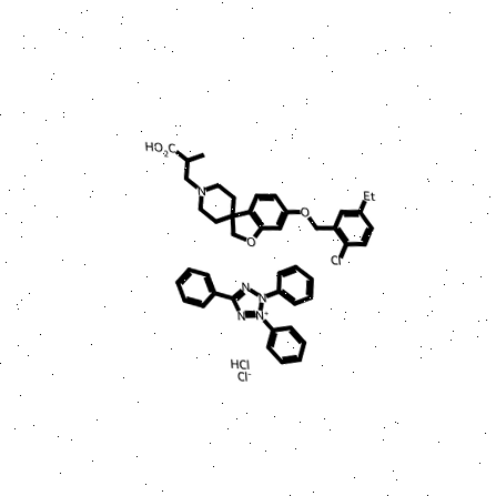 CCc1ccc(Cl)c(COc2ccc3c(c2)OCC32CCN(CC(C)C(=O)O)CC2)c1.Cl.[Cl-].c1ccc(-c2nn(-c3ccccc3)[n+](-c3ccccc3)n2)cc1